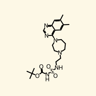 Cc1cc2ncnc(N3CCCN(CCNS(=O)(=O)NC(=O)OC(C)(C)C)CC3)c2cc1C